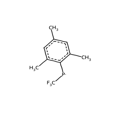 Cc1cc(C)c([P]C(F)(F)F)c(C)c1